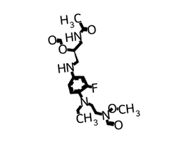 CCN(CCN(C=O)OC)c1ccc(NC[C@H](CNC(C)=O)OC=O)cc1F